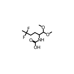 COC(OC)C(CCC(C)(F)F)NC(=O)O